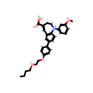 CCCCOCCOc1ccc(-c2ccc3c(c2)C=C(C(=O)O)CCN3c2cccc(OC)c2)cc1